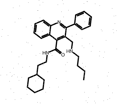 CCCCNCc1c(-c2ccccc2)nc2ccccc2c1C(=O)NCCC1CCCCC1